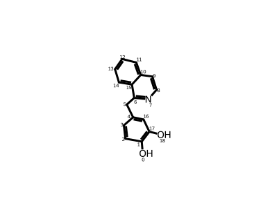 Oc1ccc(Cc2nccc3ccccc23)cc1O